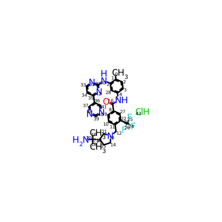 Cc1ccc(NC(=O)c2ccc(CN3CC[C@@H](C(C)(C)N)C3)c(C(F)(F)F)c2)cc1Nc1nccc(-c2cncnc2)n1.Cl